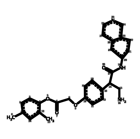 Cc1ccc(OC(=O)COc2ccc(C(CN)C(=O)Nc3ccc4cnccc4c3)cc2)c(C)c1